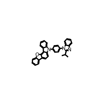 CC(C)c1nc2ccccc2n1-c1ccc(-n2c3ccccc3c3c4oc5ccccc5c4ccc32)cc1